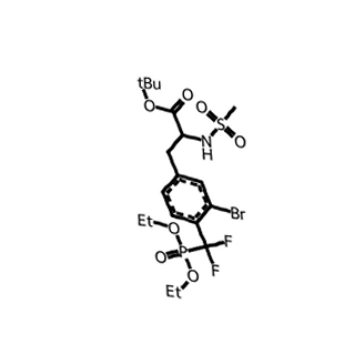 CCOP(=O)(OCC)C(F)(F)c1ccc(CC(NS(C)(=O)=O)C(=O)OC(C)(C)C)cc1Br